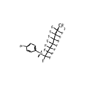 C[Si](C)(c1ccc(Br)cc1)C(F)(F)C(F)(F)C(F)(F)C(F)(F)C(F)(F)C(F)(F)C(F)(F)C(F)(F)F